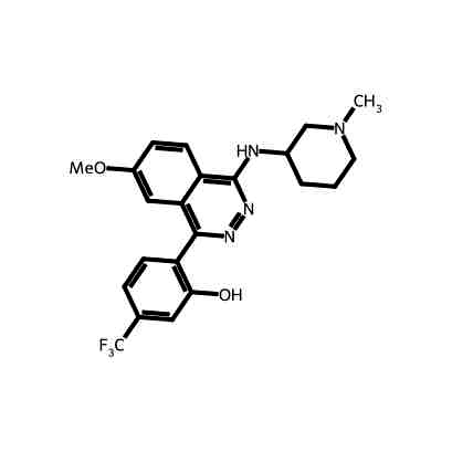 COc1ccc2c(NC3CCCN(C)C3)nnc(-c3ccc(C(F)(F)F)cc3O)c2c1